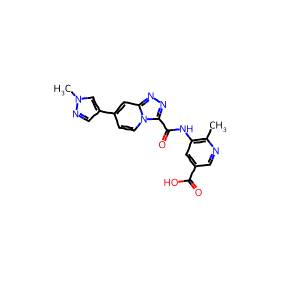 Cc1ncc(C(=O)O)cc1NC(=O)c1nnc2cc(-c3cnn(C)c3)ccn12